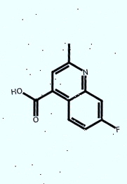 Cc1cc(C(=O)O)c2ccc(F)cc2n1